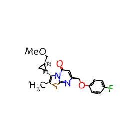 COC[C@@H]1C[C@H]1c1c(C)sc2nc(COc3ccc(F)cc3)cc(=O)n12